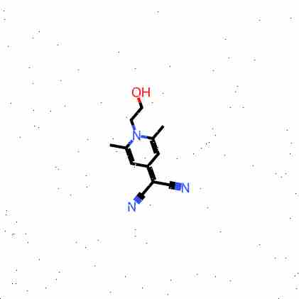 CC1=CC(=C(C#N)C#N)C=C(C)N1CCO